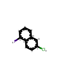 Clc1ccc2c(I)cccc2c1